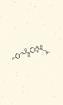 CN(C)CCNc1nc2ccc(NC(=O)/C=C/c3ccc(F)cc3)cc2s1